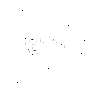 N#CCCNCC(=O)N1CCN(c2cc(N3CCOCC3)nc(-n3c(C(F)F)nc4ccccc43)n2)CC1